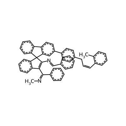 C/N=C(C1=C(/N=C/c2ccccc2)C2(c3ccccc31)c1ccccc1-c1ccc(-c3ccc(C/C=C\c4ccccc4C)cc3)cc12)/c1ccccc1